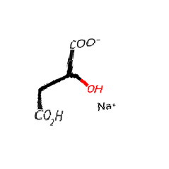 O=C(O)CC(O)C(=O)[O-].[Na+]